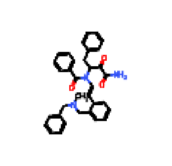 CN(Cc1ccccc1)Cc1ccccc1/C=C/N(C(=O)c1ccccc1)C(Cc1ccccc1)C(=O)C(N)=O